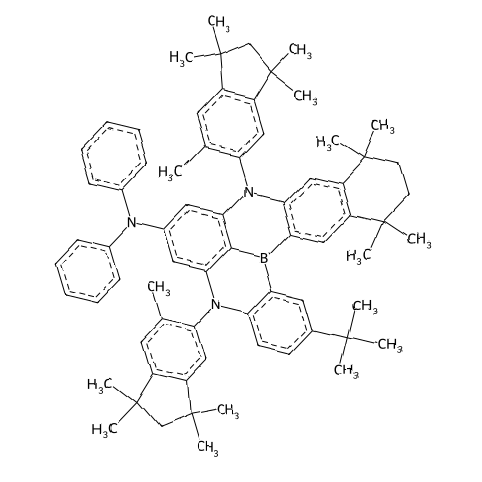 Cc1cc2c(cc1N1c3ccc(C(C)(C)C)cc3B3c4cc5c(cc4N(c4cc6c(cc4C)C(C)(C)CC6(C)C)c4cc(N(c6ccccc6)c6ccccc6)cc1c43)C(C)(C)CCC5(C)C)C(C)(C)CC2(C)C